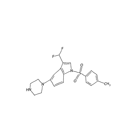 Cc1ccc(S(=O)(=O)n2cc(C(F)F)c3cc(N4CCNCC4)ccc32)cc1